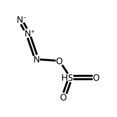 [N-]=[N+]=NO[SH](=O)=O